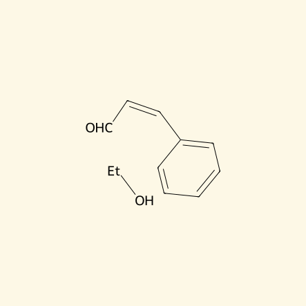 CCO.O=C/C=C\c1ccccc1